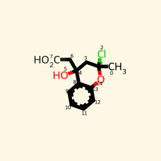 CC1(Cl)CC(O)(CC(=O)O)c2ccccc2O1